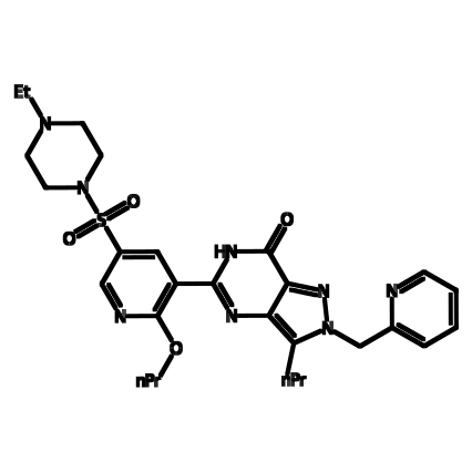 CCCOc1ncc(S(=O)(=O)N2CCN(CC)CC2)cc1-c1nc2c(CCC)n(Cc3ccccn3)nc2c(=O)[nH]1